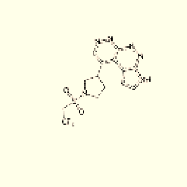 O=S(=O)(CC(F)(F)F)N1CCC(c2cnnc3nnc4[nH]ccc4c23)C1